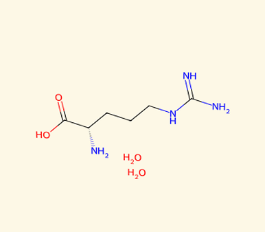 N=C(N)NCCC[C@H](N)C(=O)O.O.O